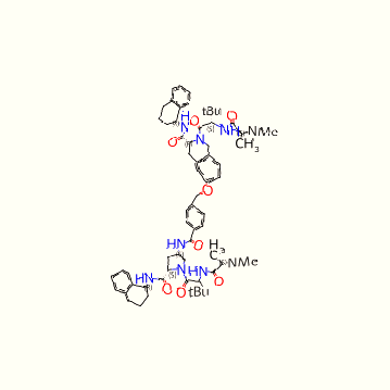 CN[C@@H](C)C(=O)NC(C(=O)N1C[C@@H](NC(=O)c2ccc(COc3ccc4c(c3)C[C@H](C(=O)N[C@@H]3CCCc5ccccc53)N(C(=O)[C@@H](NC(=O)[C@H](C)NC)C(C)(C)C)C4)cc2)C[C@H]1C(=O)N[C@@H]1CCCc2ccccc21)C(C)(C)C